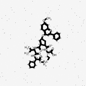 CCC[C@H](NC(=O)C1CC(Oc2cc(-c3ccccc3)nc3cc(OC)ccc23)C=C1C(=O)N[C@H](C(=O)NC(C(=O)OC)C1CCCCC1)C(C)C)C(=O)O